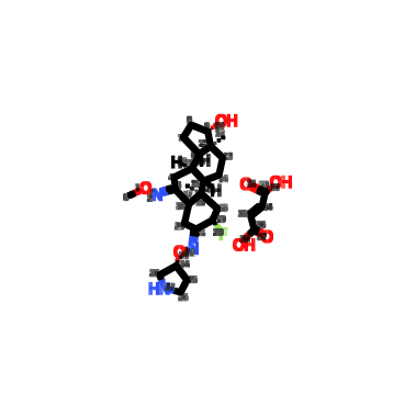 CO/N=C1\C[C@H]2[C@@H]3CC[C@H](O)[C@@]3(C)CC[C@@H]2[C@@]2(C)C[C@@H](F)C(=NO[C@@H]3CCNC3)CC12.O=C(O)/C=C/C(=O)O